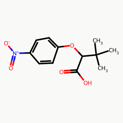 CC(C)(C)C(Oc1ccc([N+](=O)[O-])cc1)C(=O)O